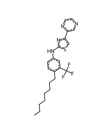 CCCCCCCCc1ccc(Nc2nc(-c3cnccn3)cs2)cc1C(F)(F)F